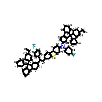 C=Cc1ccc(C2(c3ccccc3)c3ccccc3C3CCC(C(CC4C=CC5=C(C4)SC4CC(N(C6=CCC(F)CC6)c6ccc7c(c6)C(C6=CC=CCC6)(C6C=CC(C=C)CC6)C6=C7CCC=C6)C=CC54)C4C=CC(F)=CC4)=CC32)cc1